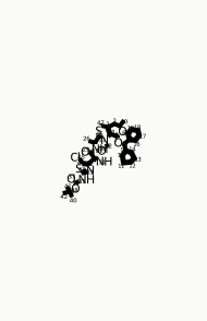 CCCC1=C(C(=O)OC(c2ccccc2)c2ccccc2)N(C=O)C(C(C)NC(=O)C(=N)c2nc(NC(=O)OC(C)(C)C)sc2Cl)SC1